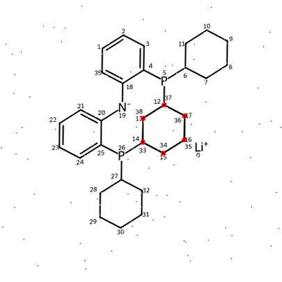 [Li+].c1ccc(P(C2CCCCC2)C2CCCCC2)c([N-]c2ccccc2P(C2CCCCC2)C2CCCCC2)c1